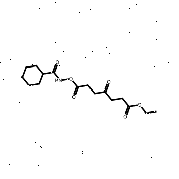 CCOC(=O)CCC(=O)CCC(=O)ONC(=O)C1CCCCC1